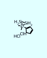 Cl.Cl.[CH3][Zr]1([CH3])([C]2=CC=CC2)[SiH2][SiH2]1